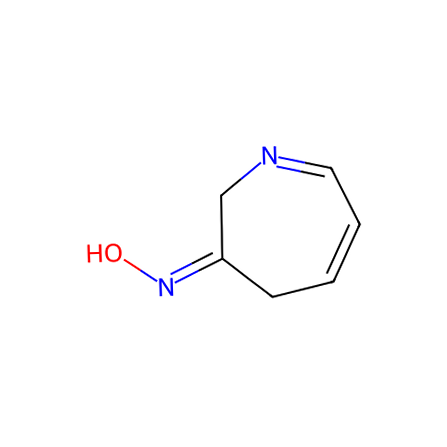 ON=C1CC=CC=NC1